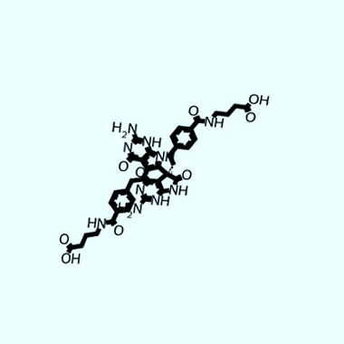 Nc1nc(=O)c2c([nH]1)NC(=O)[C@]2(CCc1ccc(C(=O)NCCCC(=O)O)cc1)c1[nH]c2[nH]c(N)nc(=O)c2c1CCc1ccc(C(=O)NCCCC(=O)O)cc1